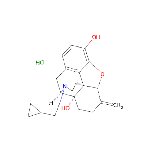 C=C1CC[C@@]2(O)[C@H]3Cc4ccc(O)c5c4[C@@]2(CCN3CC2CC2)C1O5.Cl